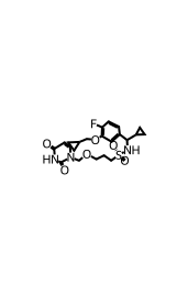 O=c1ccn(COCCCS(=O)(=O)NC(c2ccc(F)c(OCC3CC3)c2)C2CC2)c(=O)[nH]1